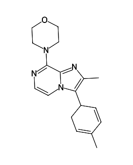 CC1=CCC(c2c(C)nc3c(N4CCOCC4)nccn23)C=C1